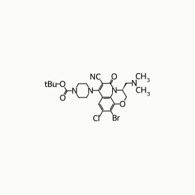 CN(C)C[C@H]1COc2c(Br)c(Cl)cc3c(N4CCN(C(=O)OC(C)(C)C)CC4)c(C#N)c(=O)n1c23